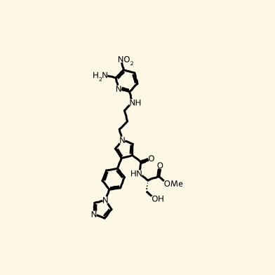 COC(=O)[C@H](CO)NC(=O)c1cn(CCCNc2ccc([N+](=O)[O-])c(N)n2)cc1-c1ccc(-n2ccnc2)cc1